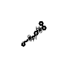 O=C(NCCCN1CCCC1)NCCN1CCC(OC(=O)Nc2ccccc2-c2ccccc2)CC1